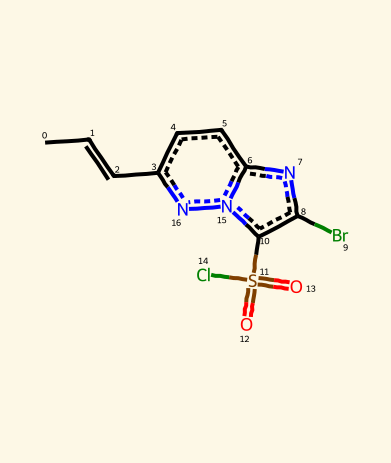 CC=Cc1ccc2nc(Br)c(S(=O)(=O)Cl)n2n1